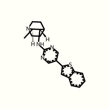 C[C@@H]1[C@@H](Nc2ncc(-c3cc4ccccc4s3)cn2)C2CCN1CC2